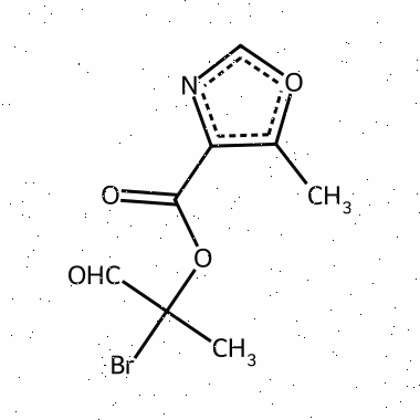 Cc1ocnc1C(=O)OC(C)(Br)C=O